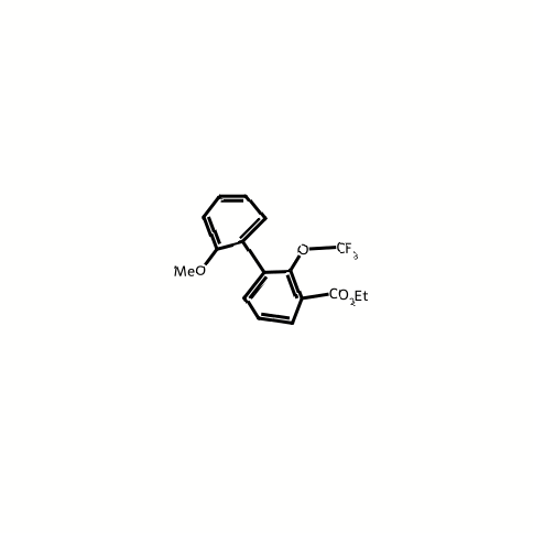 CCOC(=O)c1cccc(-c2ccccc2OC)c1OC(F)(F)F